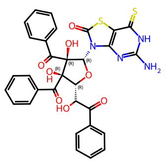 Nc1nc2c(sc(=O)n2[C@@H]2O[C@H](C(O)C(=O)c3ccccc3)[C@](O)(C(=O)c3ccccc3)[C@]2(O)C(=O)c2ccccc2)c(=S)[nH]1